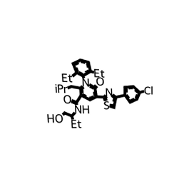 CCc1cccc(CC)c1-n1c(CC(C)C)c(C(=O)NC(CC)CO)cc(-c2nc(-c3ccc(Cl)cc3)cs2)c1=O